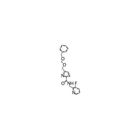 O=C(NCc1ncccc1F)c1nc(COCOCc2ccccc2)cs1